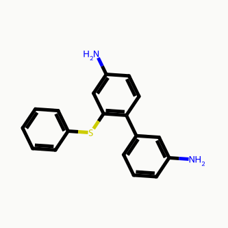 Nc1cccc(-c2ccc(N)cc2Sc2ccccc2)c1